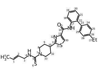 C/C=C/CNC(=S)N1CCC(c2nc(C(=O)Nc3ccccc3-c3ccc(CC)cc3)cs2)CC1